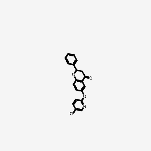 O=C1CC(c2ccccc2)Oc2ccc(Oc3ccc(Cl)cn3)cc21